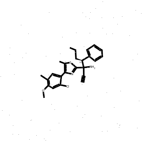 C#CC(N)(c1nc(-c2cc(C)c(OC)cc2Cl)c(C)s1)[C@@H](CCC)c1ccccc1